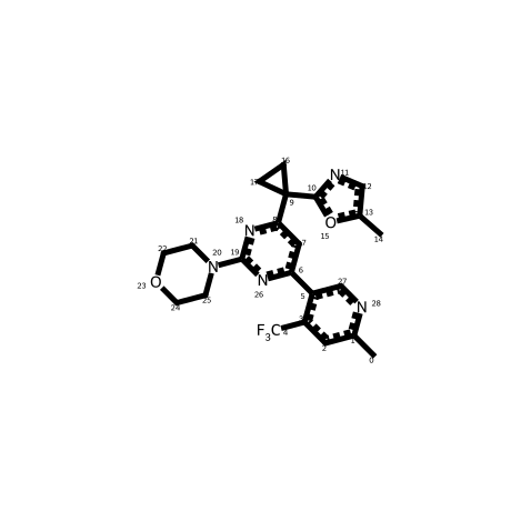 Cc1cc(C(F)(F)F)c(-c2cc(C3(c4ncc(C)o4)CC3)nc(N3CCOCC3)n2)cn1